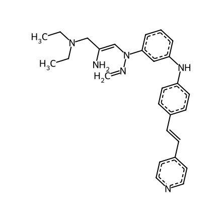 C=NN(/C=C(\N)CN(CC)CC)c1cccc(Nc2ccc(/C=C/c3ccncc3)cc2)c1